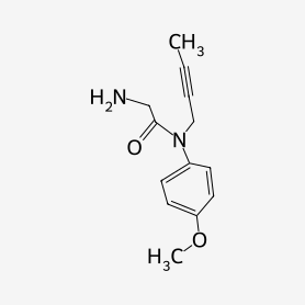 CC#CCN(C(=O)CN)c1ccc(OC)cc1